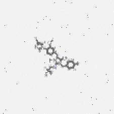 COc1cc(/C=C2\N/C(=N\CC(F)(F)F)N(Cc3ccc(F)cc3)C2=O)ccc1-n1cnc(C)c1